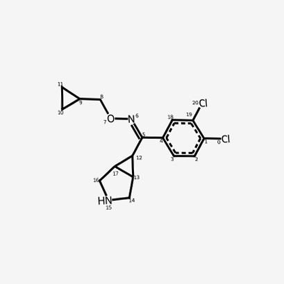 Clc1ccc(/C(=N/OCC2CC2)C2C3CNCC32)cc1Cl